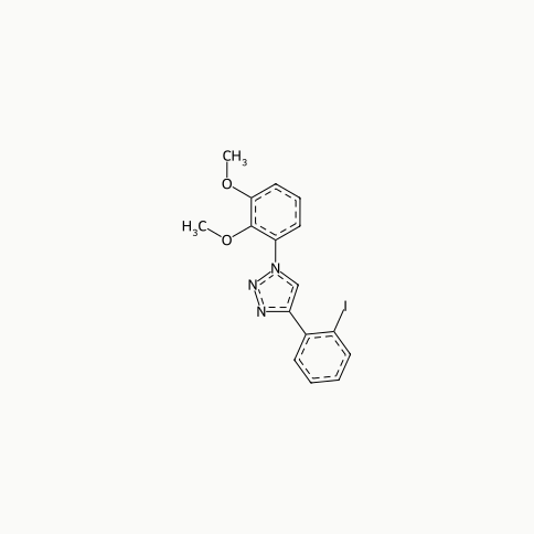 COc1cccc(-n2cc(-c3ccccc3I)nn2)c1OC